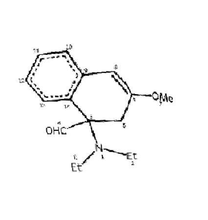 CCN(CC)C1(C=O)CC(OC)=Cc2ccccc21